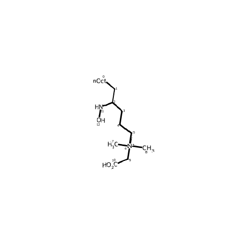 CCCCCCCCCC(CCC[N+](C)(C)CC(=O)O)NO